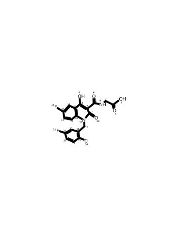 O=C(O)CNC(=O)c1c(O)c2cc(F)ccc2n(Cc2cc(F)ccc2Cl)c1=O